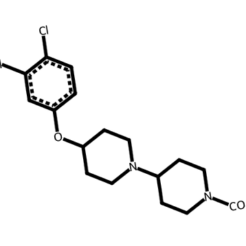 O=C(O)N1CCC(N2CCC(Oc3ccc(Cl)c(Cl)c3)CC2)CC1